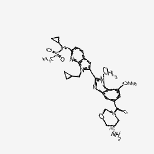 COc1cc(C(=O)N2COC[C@@H](N)C2)cc2nc(-c3cc4ccc(N(C5CC5)S(C)(=O)=O)nc4n3CC3CC3)n(C)c12